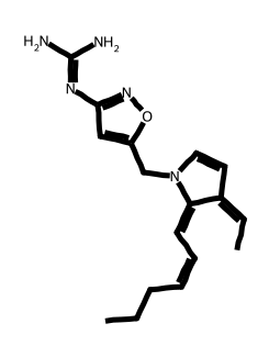 C/C=c1/ccn(Cc2cc(N=C(N)N)no2)/c1=C/C=C\CCC